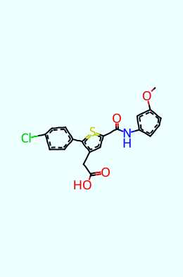 COc1cccc(NC(=O)c2cc(CC(=O)O)c(-c3ccc(Cl)cc3)s2)c1